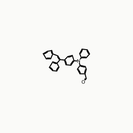 O=Cc1ccc(N(c2ccccc2)c2ccc(C(=Cc3ccccc3)c3ccccc3)cc2)cc1